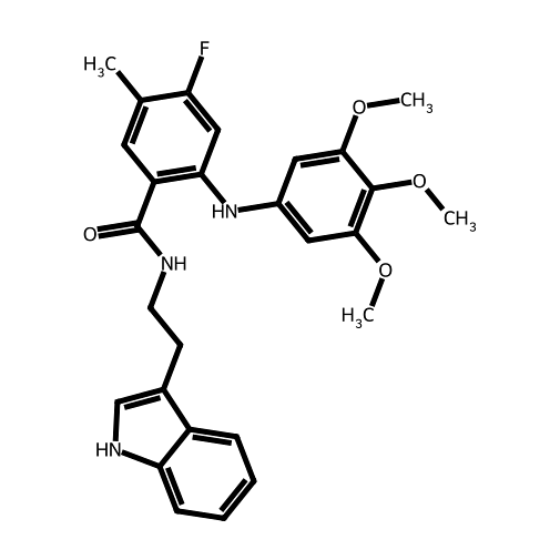 COc1cc(Nc2cc(F)c(C)cc2C(=O)NCCc2c[nH]c3ccccc23)cc(OC)c1OC